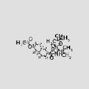 CC(=O)Oc1ccc2cc(S(=O)(=O)N[C@@H](C(=O)OC(C)(C)C)C(C)C)ccc2c1